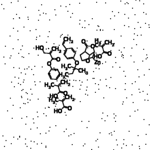 C=C(C)C(=O)O.C=C(C)C(=O)O.C=C(C)C(=O)O.C=C(CO)C(=O)Oc1ccccc1.C=Cc1ccc(OC(C)(C)CC)cc1.O=C1OC2[CH]([Zn])C3CC1C2O3